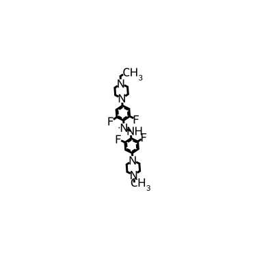 CCN1CCN(c2cc(F)c([N]Nc3c(F)cc(N4CCN(C)CC4)cc3F)c(F)c2)CC1